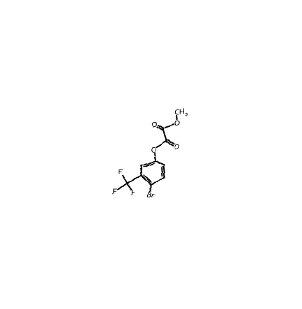 COC(=O)C(=O)Oc1ccc(Br)c(C(F)(F)F)c1